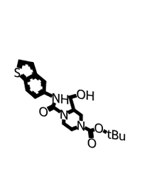 CC(C)(C)OC(=O)N1CCN(C(=O)Nc2ccc3sccc3c2)C(CO)C1